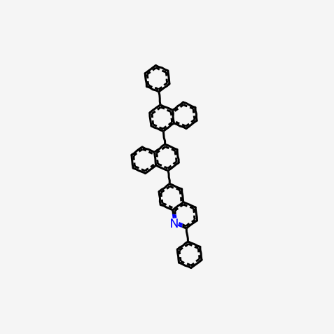 c1ccc(-c2ccc3cc(-c4ccc(-c5ccc(-c6ccccc6)c6ccccc56)c5ccccc45)ccc3n2)cc1